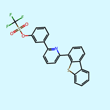 O=S(=O)(Oc1cccc(-c2cccc(-c3cccc4c3sc3ccccc34)n2)c1)C(F)(F)F